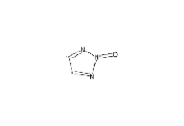 O=[N+]1N=[C]C=N1